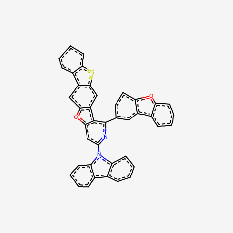 c1ccc2c(c1)oc1ccc(-c3nc(-n4c5ccccc5c5ccccc54)cc4oc5cc6c(cc5c34)sc3ccccc36)cc12